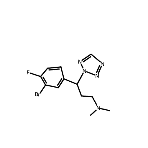 CN(C)CCC(c1ccc(F)c(Br)c1)n1ncnn1